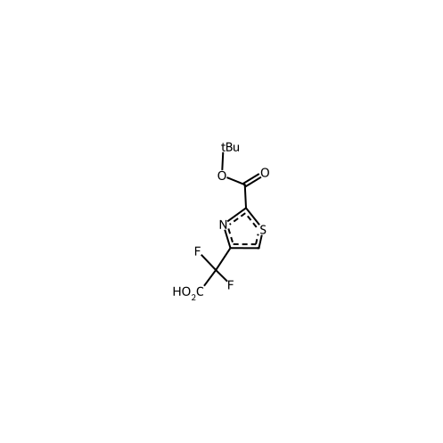 CC(C)(C)OC(=O)c1nc(C(F)(F)C(=O)O)cs1